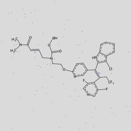 CN(C)C(=O)/C=C/CN(CCOc1ccc(/C(=C(/CC(F)(F)F)c2c(F)cncc2F)c2[nH]c3ccccc3c2Cl)cn1)C(=O)OC(C)(C)C